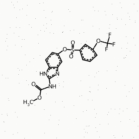 COC(=O)Nc1nc2cc(OS(=O)(=O)c3cccc(OC(F)(F)F)c3)ccc2[nH]1